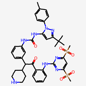 Cc1ccc(-n2nc(C(C)(C)C)cc2NC(=O)Nc2cccc(C(C(=O)c3ccccc3Nc3nc(S(C)(=O)=O)cc(S(C)(=O)=O)n3)C3CCNCC3)c2)cc1